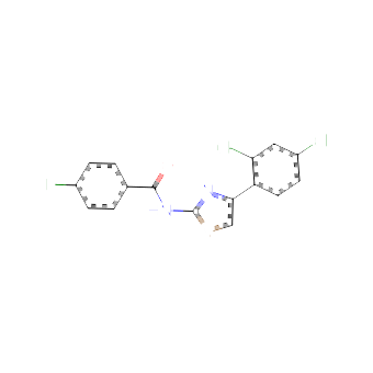 O=C(Nc1nc(-c2ccc(Cl)cc2Cl)cs1)c1ccc(F)cc1